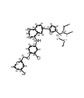 CCN(CC)[C@H](CSC)c1ccc(-c2ccc3ncnc(Nc4ccc(OCc5cccc(F)c5)c(Cl)c4)c3c2)o1